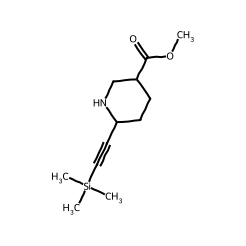 COC(=O)C1CCC(C#C[Si](C)(C)C)NC1